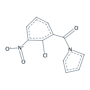 O=C(c1cccc([N+](=O)[O-])c1Cl)n1cccc1